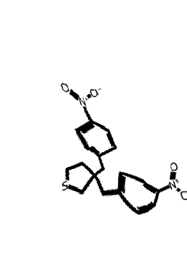 O=[N+]([O-])c1ccc(CC2(Cc3ccc([N+](=O)[O-])cc3)CCSC2)cc1